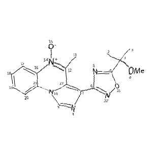 COC(C)(C)c1nc(-c2ncn3c2c(C)[n+]([O-])c2ccccc23)no1